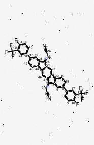 N#C/N=c1\c2cc(-c3ccc(F)c(C(F)(F)F)c3)ccc2c2cc3/c(=N/C#N)c4cc(-c5ccc(F)c(C(F)(F)F)c5)ccc4c3cc12